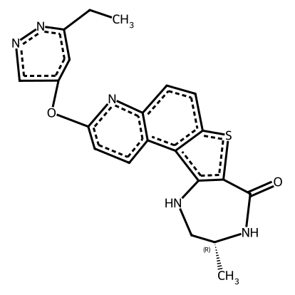 CCc1cc(Oc2ccc3c(ccc4sc5c(c43)NC[C@@H](C)NC5=O)n2)cnn1